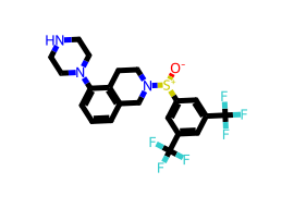 [O-][S+](c1cc(C(F)(F)F)cc(C(F)(F)F)c1)N1CCc2c(cccc2N2CCNCC2)C1